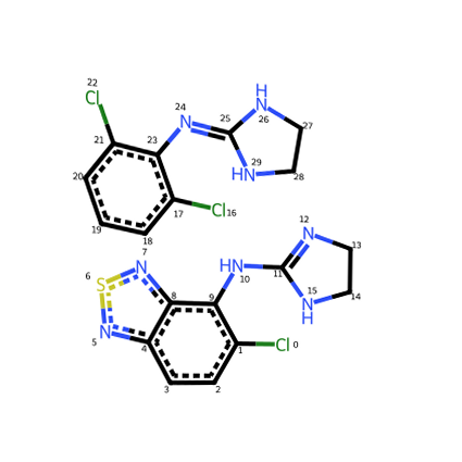 Clc1ccc2nsnc2c1NC1=NCCN1.Clc1cccc(Cl)c1N=C1NCCN1